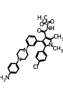 Cc1c(C(=O)NS(C)(=O)=O)c(-c2cccc(N3CCN(c4ccc(N)cc4)CC3)c2)c(-c2ccc(Cl)cc2)n1C